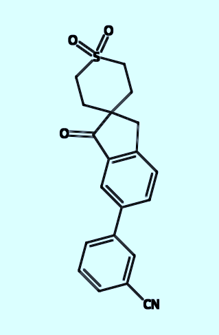 N#Cc1cccc(-c2ccc3c(c2)C(=O)C2(CCS(=O)(=O)CC2)C3)c1